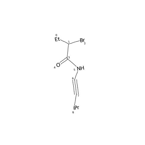 CCC(Br)C(=O)NC#CC(C)C